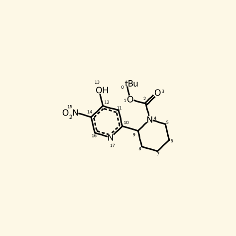 CC(C)(C)OC(=O)N1CCCCC1c1cc(O)c([N+](=O)[O-])cn1